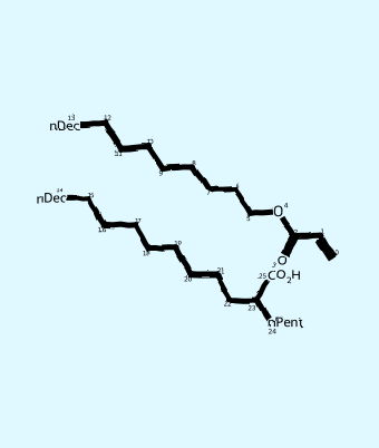 C=CC(=O)OCCCCCCCCCCCCCCCCCC.CCCCCCCCCCCCCCCCCCC(CCCCC)C(=O)O